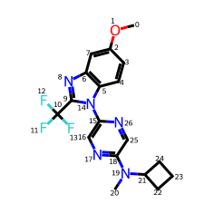 COc1ccc2c(c1)nc(C(F)(F)F)n2-c1cnc(N(C)C2CCC2)cn1